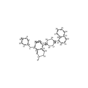 CC1C=c2c(Cc3ccncc3)nnc(N3CCN(c4cccc5ccccc45)CC3)c2=CC1